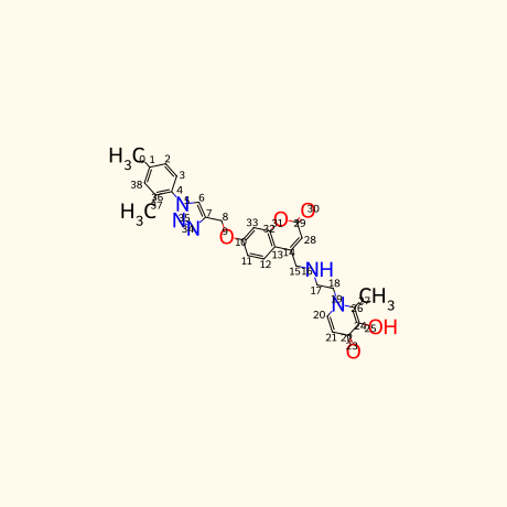 Cc1ccc(-n2cc(COc3ccc4c(CNCCn5ccc(=O)c(O)c5C)cc(=O)oc4c3)nn2)c(C)c1